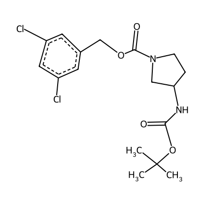 CC(C)(C)OC(=O)NC1CCN(C(=O)OCc2cc(Cl)cc(Cl)c2)C1